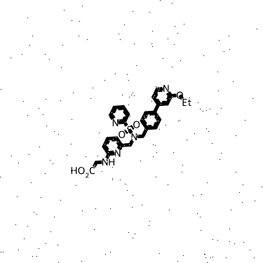 CCOc1cc(-c2ccc(CN(Cc3cccc(NCC(=O)O)n3)S(=O)(=O)c3ccccn3)cc2)ccn1